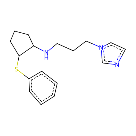 c1ccc(SC2CCCC2NCCCn2ccnc2)cc1